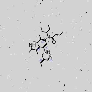 C/C=C(\C=N/C)CNC(=C/C(=C(/C)CC)N(C(=O)CCC)C(CC)CC)/C(C)=C(\C)C(C)=N